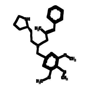 COc1cc(CN(CC[C@H]2CCCN2)C/C(C)=C/c2ccccc2)cc(OC)c1OC